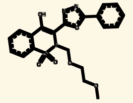 COCCOCN1C(c2nnc(-c3ccccc3)o2)=C(O)c2ccccc2S1(=O)=O